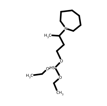 CCO[SiH](OCC)OCCC(C)N1CCCCCC1